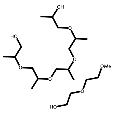 CC(O)COC(C)COC(C)COC(C)COC(C)CO.COCCOCCO